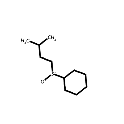 CC(C)CC[S+]([O-])C1CCCCC1